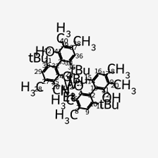 CC[N]=[W]([O]c1c(C)c(C)cc(C(C)(C)C)c1-c1c(C(C)(C)C)cc(C)c(C)c1O)[O]c1c(C)c(C)cc(C(C)(C)C)c1-c1c(C(C)(C)C)cc(C)c(C)c1O